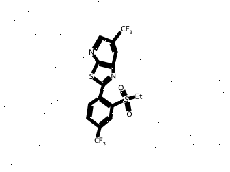 CCS(=O)(=O)c1cc(C(F)(F)F)ccc1-c1nc2cc(C(F)(F)F)cnc2s1